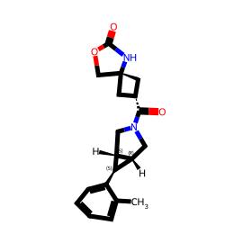 Cc1ccccc1[C@H]1[C@@H]2CN(C(=O)[C@H]3C[C@]4(COC(=O)N4)C3)C[C@@H]21